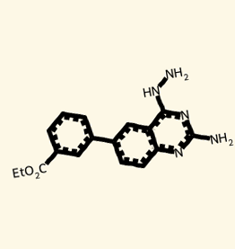 CCOC(=O)c1cccc(-c2ccc3nc(N)nc(NN)c3c2)c1